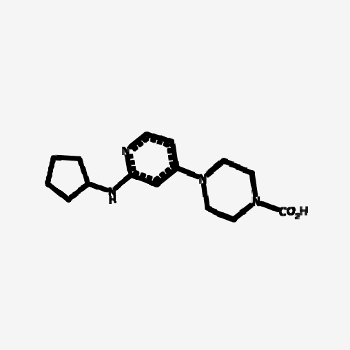 O=C(O)N1CCN(c2ccnc(NC3CCCC3)c2)CC1